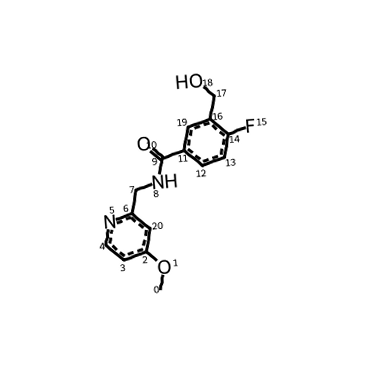 COc1ccnc(CNC(=O)c2ccc(F)c(CO)c2)c1